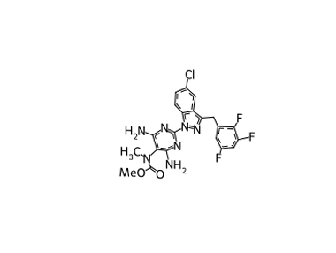 COC(=O)N(C)c1c(N)nc(-n2nc(Cc3cc(F)cc(F)c3F)c3cc(Cl)ccc32)nc1N